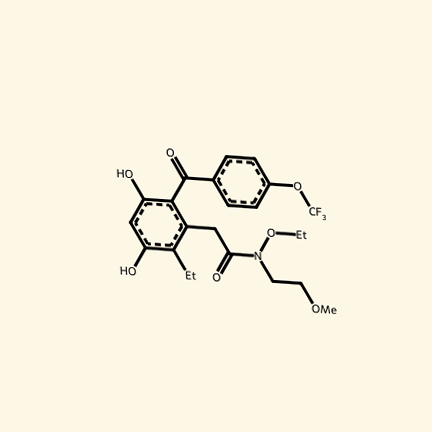 CCON(CCOC)C(=O)Cc1c(CC)c(O)cc(O)c1C(=O)c1ccc(OC(F)(F)F)cc1